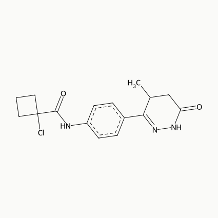 CC1CC(=O)NN=C1c1ccc(NC(=O)C2(Cl)CCC2)cc1